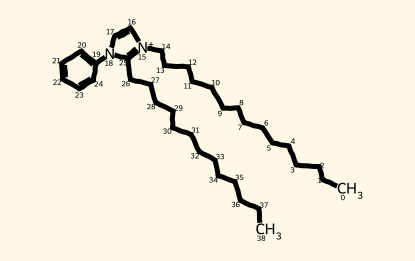 CCCCCCCCCCCCCCC[n+]1ccn(-c2ccccc2)c1CCCCCCCCCCCCC